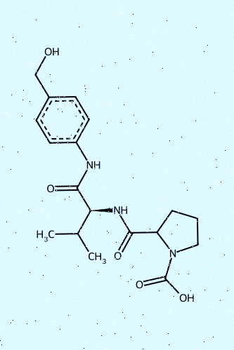 CC(C)[C@H](NC(=O)C1CCCN1C(=O)O)C(=O)Nc1ccc(CO)cc1